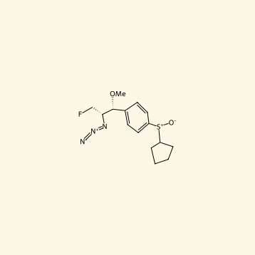 CO[C@H](c1ccc([S+]([O-])C2CCCC2)cc1)[C@@H](CF)N=[N+]=[N-]